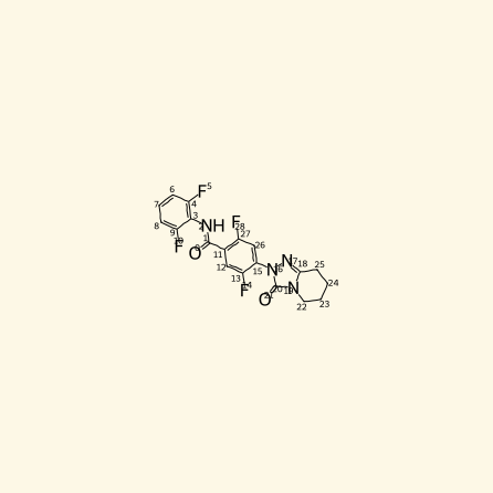 O=C(Nc1c(F)cccc1F)c1cc(F)c(-n2nc3n(c2=O)CCCC3)cc1F